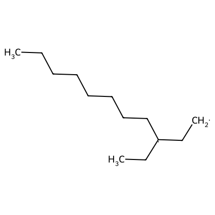 [CH2]C[C](CC)CCCCCCCC